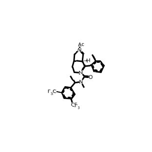 CC(=O)N1CC2CCN(C(=O)N(C)C(C)c3cc(C(F)(F)F)cc(C(F)(F)F)c3)C(c3ccccc3C)[C@@H]2C1